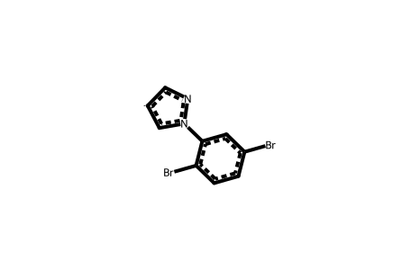 Brc1ccc(Br)c(-n2c[c]cn2)c1